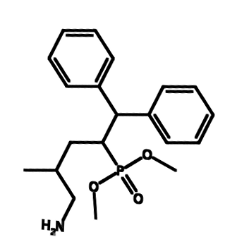 COP(=O)(OC)C(CC(C)CN)C(c1ccccc1)c1ccccc1